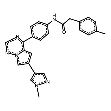 Cc1ccc(CC(=O)Nc2ccc(-c3ncnn4cc(-c5cnn(C)c5)cc34)cc2)cc1